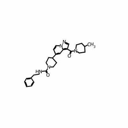 CC1CCN(C(=O)c2cnn3ccc(C4CCN(C(=O)NCCc5ccccc5)CC4)cc23)CC1